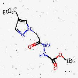 CCOC(=O)c1cnn(CC(=O)NNC(=O)OC(C)(C)C)c1